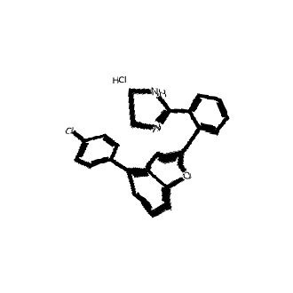 Cl.Clc1ccc(-c2cccc3oc(-c4ccccc4C4=NCCN4)cc23)cc1